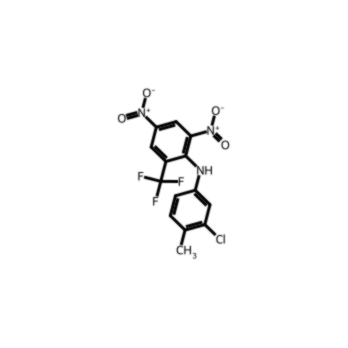 Cc1ccc(Nc2c([N+](=O)[O-])cc([N+](=O)[O-])cc2C(F)(F)F)cc1Cl